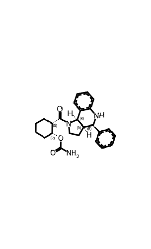 NC(=O)O[C@@H]1CCCC[C@@H]1C(=O)N1CC[C@@H]2[C@H](c3ccccc3)Nc3ccccc3[C@@H]21